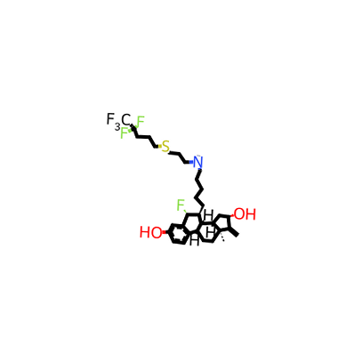 C=C1[C@H](O)C[C@H]2[C@@H]3[C@H](CCCCCN(C)CCCSCCCC(F)(F)C(F)(F)F)[C@@H](F)c4cc(O)ccc4[C@H]3CC[C@]12C